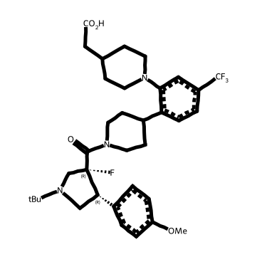 COc1ccc([C@@H]2CN(C(C)(C)C)C[C@@]2(F)C(=O)N2CCC(c3ccc(C(F)(F)F)cc3N3CCC(CC(=O)O)CC3)CC2)cc1